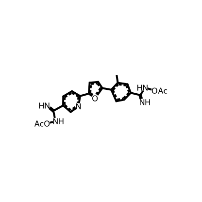 CC(=O)ONC(=N)c1ccc(-c2ccc(-c3ccc(C(=N)NOC(C)=O)cc3C)o2)nc1